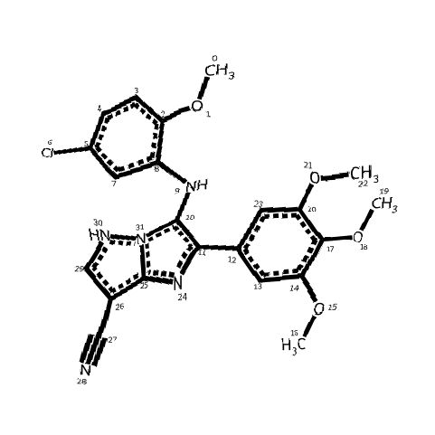 COc1ccc(Cl)cc1Nc1c(-c2cc(OC)c(OC)c(OC)c2)nc2c(C#N)c[nH]n12